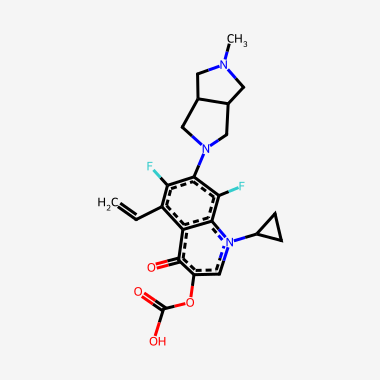 C=Cc1c(F)c(N2CC3CN(C)CC3C2)c(F)c2c1c(=O)c(OC(=O)O)cn2C1CC1